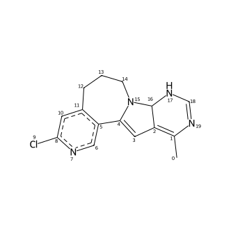 CC1=C2C=C3c4cnc(Cl)cc4CCCN3C2NC=N1